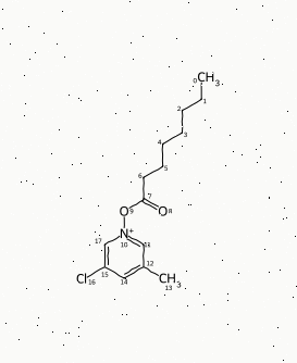 CCCCCCCC(=O)O[n+]1cc(C)cc(Cl)c1